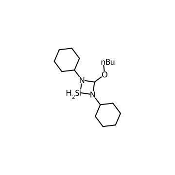 CCCCOC1N(C2CCCCC2)[SiH2]N1C1CCCCC1